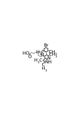 Cc1cc(Br)cc(C)c1-c1c(C)nc2[nH]c(C)c(C)c2c1N1CCC(CCCC(=O)O)CC1